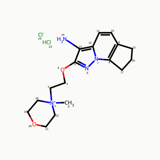 C[N+]1(CCOc2nn3c4c(ccc3c2N)CCC4)CCOCC1.Cl.[Cl-]